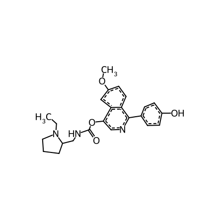 CCN1CCCC1CNC(=O)Oc1cnc(-c2ccc(O)cc2)c2ccc(OC)cc12